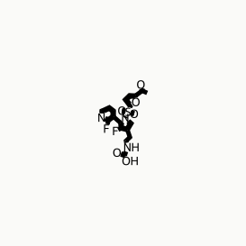 CC(=O)c1ccc(S(=O)(=O)n2cc(CCNC(=O)O)c(F)c2-c2cccnc2F)o1